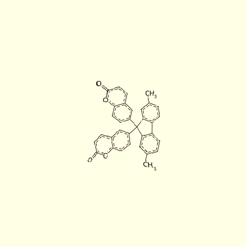 Cc1ccc2c(c1)C(c1ccc3oc(=O)ccc3c1)(c1ccc3oc(=O)ccc3c1)c1cc(C)ccc1-2